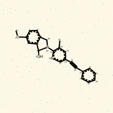 COc1ccc2c(c1)C(O)N(c1ncc(C#Cc3ccccc3)cc1C)C2